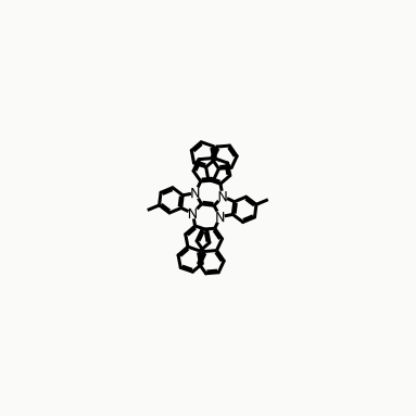 Cc1ccc2c(c1)N(c1ccc3ccccc3c1)/C(=C1\N(c3ccc4ccccc4c3)c3ccc(C)cc3N1c1ccc3ccccc3c1)N2c1ccc2ccccc2c1